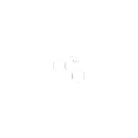 N.O.c1ccc(-c2ccccc2)cc1